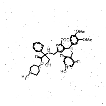 COc1ccc([C@H](Cc2c(Cl)c[n+](O)cc2Cl)c2cc(CNC(CO)(C(=O)OC3CCN(C)CC3)c3ccccc3)sc2C(=O)[O-])cc1OC